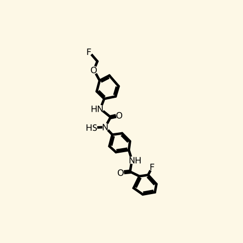 O=C(Nc1ccc(N(S)C(=O)Nc2cccc(OCF)c2)cc1)c1ccccc1F